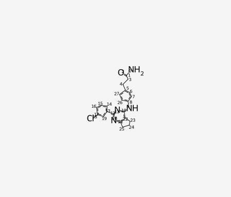 NC(=O)CCc1ccc(Nc2nc(-c3cccc(Cl)c3)nc3c2CCC3)cc1